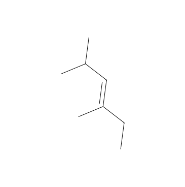 CC/C(C)=C/C(C)C